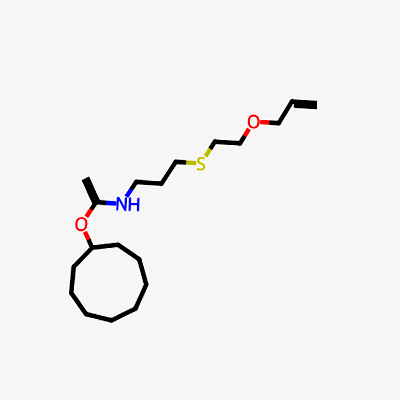 C=CCOCCSCCCNC(=C)OC1CCCCCCCC1